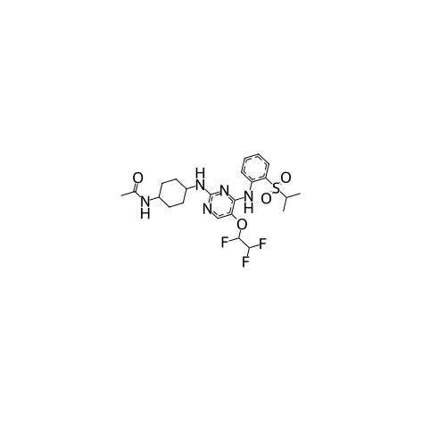 CC(=O)NC1CCC(Nc2ncc(OC(F)C(F)F)c(Nc3ccccc3S(=O)(=O)C(C)C)n2)CC1